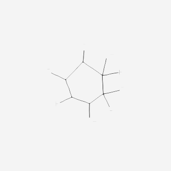 CC1C(F)C(F)C(F)C(C)(F)C1(F)F